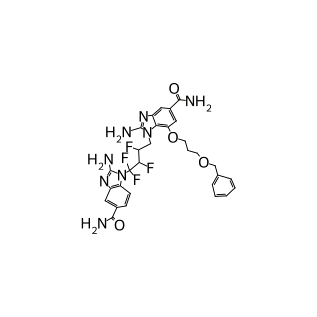 NC(=O)c1cc(OCCCOCc2ccccc2)c2c(c1)nc(N)n2CC(F)C(F)C(F)(F)n1c(N)nc2cc(C(N)=O)ccc21